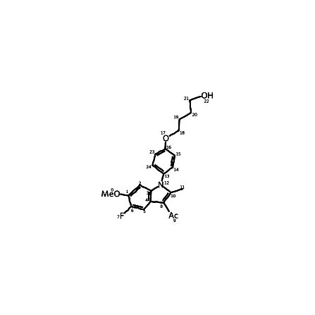 COc1cc2c(cc1F)c(C(C)=O)c(C)n2-c1ccc(OCCCCO)cc1